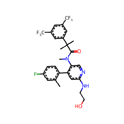 Cc1cc(F)ccc1-c1cc(NCCO)ncc1N(C)C(=O)C(C)(C)c1cc(C(F)(F)F)cc(C(F)(F)F)c1